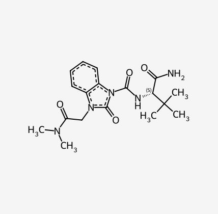 CN(C)C(=O)Cn1c(=O)n(C(=O)N[C@H](C(N)=O)C(C)(C)C)c2ccccc21